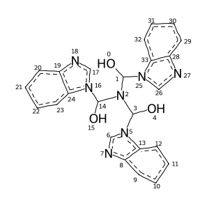 OC(N(C(O)n1cnc2ccccc21)C(O)n1cnc2ccccc21)n1cnc2ccccc21